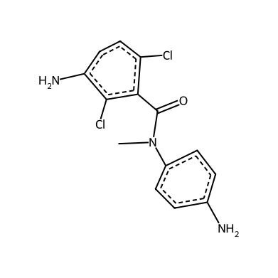 CN(C(=O)c1c(Cl)ccc(N)c1Cl)c1ccc(N)cc1